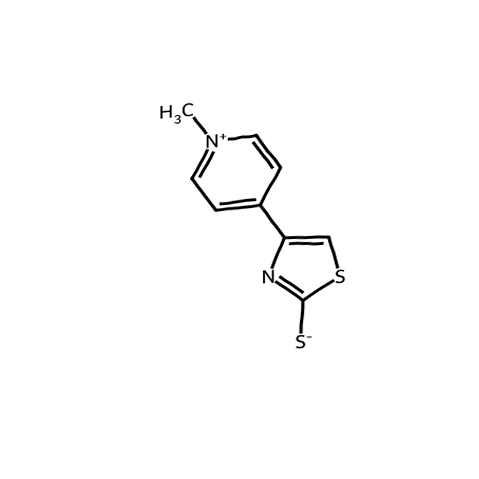 C[n+]1ccc(-c2csc([S-])n2)cc1